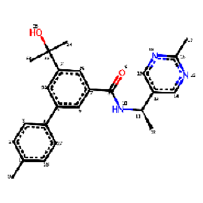 Cc1ccc(-c2cc(C(=O)N[C@H](C)c3cnc(C)nc3)cc(C(C)(C)O)c2)cc1